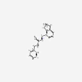 O=C(/C=C/c1cccc2c1CNC2)OCc1ccccc1